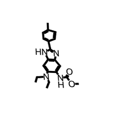 CCN(CC)c1cc2[nH]c(-c3ccc(C)cc3)nc2cc1NC(=O)OC